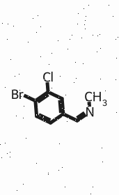 C/N=C\c1ccc(Br)c(Cl)c1